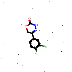 O=C1NN=C(c2ccc(Cl)c(F)c2)CO1